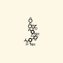 C=CC(=O)Nc1cc(Nc2cc(-c3ccc(NC(C)C)c(C=N)c3)ncn2)c(OC)cc1N(C)C1CCN(C2CCN(C)CC2)CC1